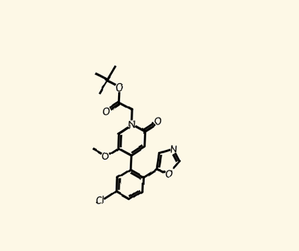 COc1cn(CC(=O)OC(C)(C)C)c(=O)cc1-c1cc(Cl)ccc1-c1cnco1